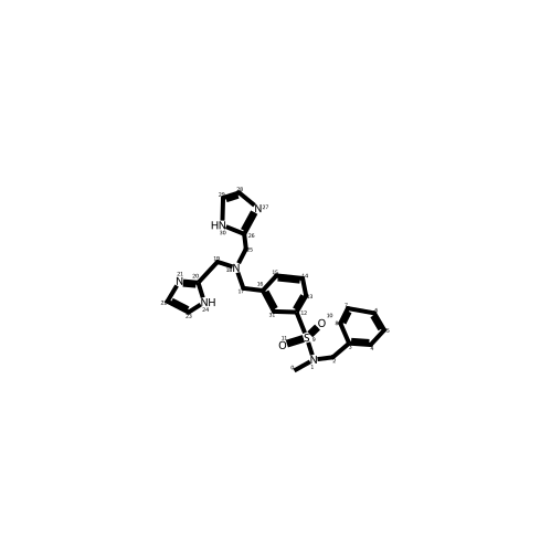 CN(Cc1ccccc1)S(=O)(=O)c1cccc(CN(Cc2ncc[nH]2)Cc2ncc[nH]2)c1